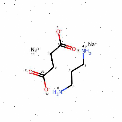 NCCCN.O=C([O-])CCC(=O)[O-].[Na+].[Na+]